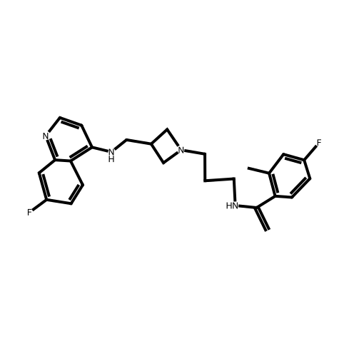 C=C(NCCCN1CC(CNc2ccnc3cc(F)ccc23)C1)c1ccc(F)cc1C